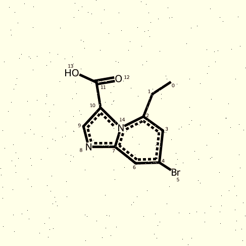 CCc1cc(Br)cc2ncc(C(=O)O)n12